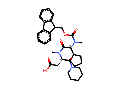 CN(C(=O)OCC1c2ccccc2-c2ccccc21)[C@H](C(=O)N(C)[C@@H](CC(=O)O)C(=O)N1CCCCC1)C1CCCC1